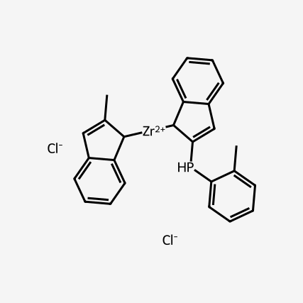 CC1=Cc2ccccc2[CH]1[Zr+2][CH]1C(Pc2ccccc2C)=Cc2ccccc21.[Cl-].[Cl-]